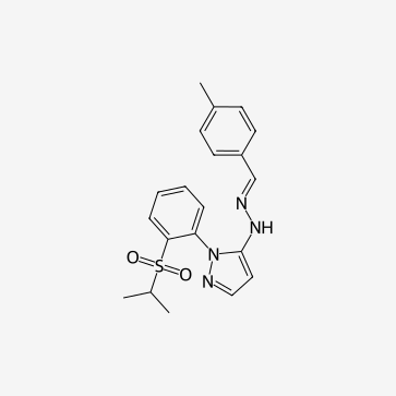 Cc1ccc(C=NNc2ccnn2-c2ccccc2S(=O)(=O)C(C)C)cc1